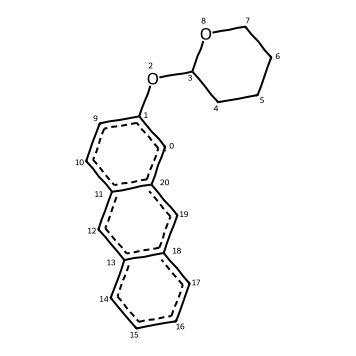 [c]1c(OC2CCCCO2)ccc2cc3ccccc3cc12